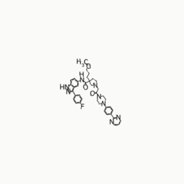 COCCCC1(C(=O)Nc2ccc3[nH]nc(-c4ccc(F)cc4)c3c2)CCN(CC(=O)N2CCN(c3ccc(-c4ncccn4)cc3)CC2)C1